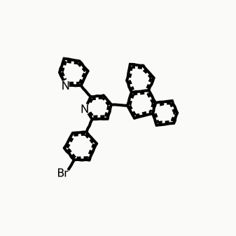 Brc1ccc(-c2cc(-c3cc4ccccc4c4ccccc34)cc(-c3ccccn3)n2)cc1